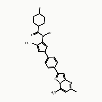 Cc1cc(N)n2nc(-c3ccc(-n4cc(C(=O)O)c(N(C(=O)C5CCC(C)CC5)C(C)C)n4)cc3)cc2n1